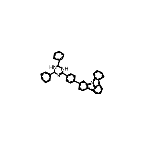 c1ccc(C2N=C(c3ccc(-c4ccc5c6cccc7c8ccccc8n(c5c4)c76)cc3)NC(c3ccccc3)N2)cc1